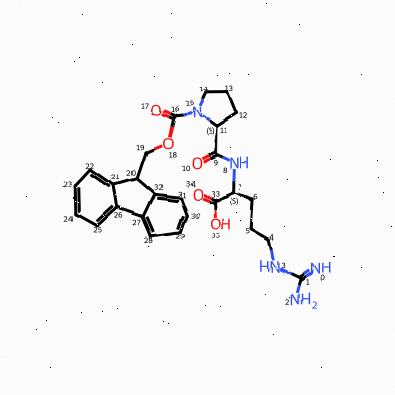 N=C(N)NCCC[C@H](NC(=O)[C@@H]1CCCN1C(=O)OCC1c2ccccc2-c2ccccc21)C(=O)O